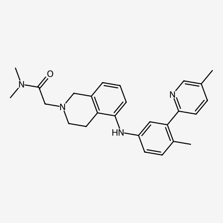 Cc1ccc(-c2cc(Nc3cccc4c3CCN(CC(=O)N(C)C)C4)ccc2C)nc1